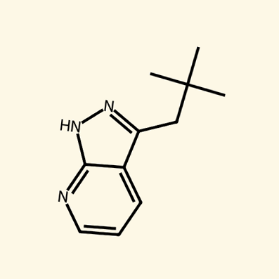 CC(C)(C)Cc1n[nH]c2ncccc12